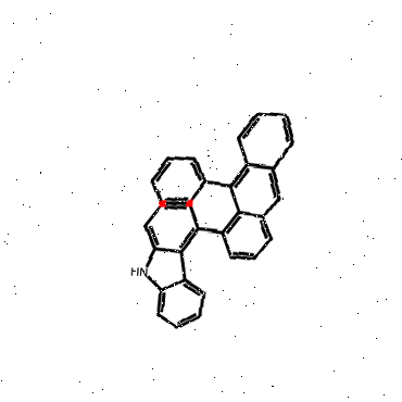 [c]1c2ccccc2c(-c2ccccc2)c2c(-c3cccc4[nH]c5ccccc5c34)cccc12